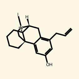 C=CCc1cc(O)cc2c1C[C@@H]1[C@@H]3CCCC[C@]23CCN1I